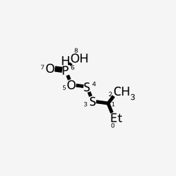 CCC(C)SSO[PH](=O)O